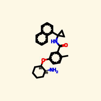 Cc1ccc(O[C@@H]2CCCC[C@H]2N)cc1C(=O)NC1(c2cccc3ccccc23)CC1